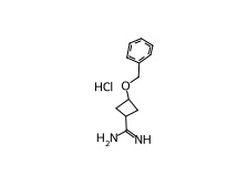 Cl.N=C(N)C1CC(OCc2ccccc2)C1